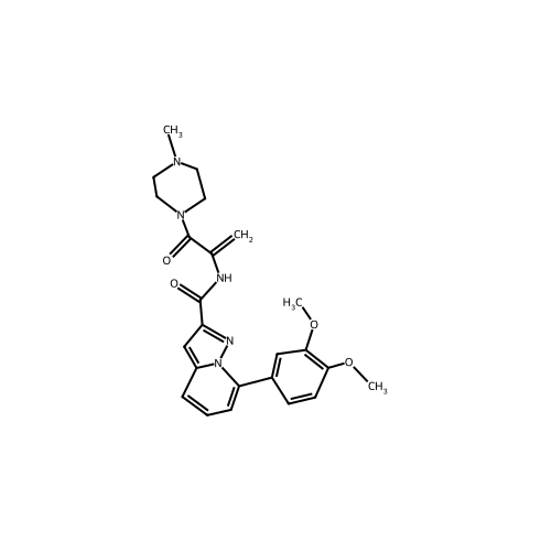 C=C(NC(=O)c1cc2cccc(-c3ccc(OC)c(OC)c3)n2n1)C(=O)N1CCN(C)CC1